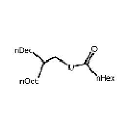 CCCCCCCCCCC(CCCCCCCC)COC(=O)CCCCCC